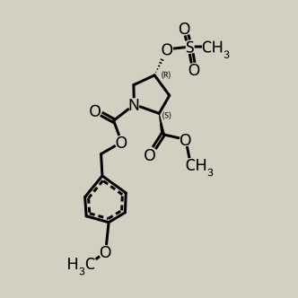 COC(=O)[C@@H]1C[C@@H](OS(C)(=O)=O)CN1C(=O)OCc1ccc(OC)cc1